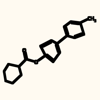 Cc1ccc(-c2ccc(OC(=O)C3CCCCC3)cc2)cc1